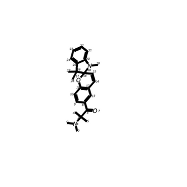 CN(C)C(C)(C)C(=O)c1ccc2c(c1)C=CC1(O2)N(C)c2ccccc2C1(C)C